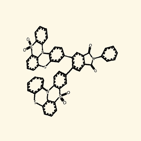 O=C1c2cc(-c3ccc4c(c3)Sc3cccc5c3N4c3ccccc3S5(=O)=O)c(-c3ccc4c(c3)S(=O)(=O)c3cccc5c3N4c3ccccc3S5)cc2C(=O)N1c1ccccc1